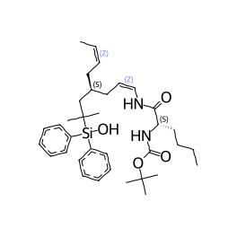 C/C=C\C[C@@H](C/C=C\NC(=O)[C@H](CCCC)NC(=O)OC(C)(C)C)CC(C)(C)[Si](O)(c1ccccc1)c1ccccc1